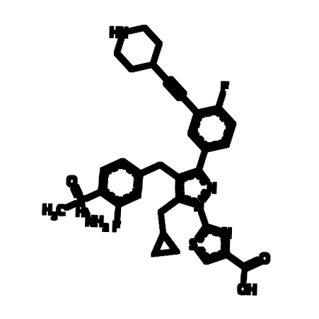 C[SH](N)(=O)c1ccc(Cc2c(-c3ccc(F)c(C#CC4CCNCC4)c3)nn(-c3nc(C(=O)O)cs3)c2CC2CC2)cc1F